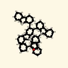 c1ccc(-n2c3ccccc3c3cc(-n4c5ccccc5c5cccc(-c6cc7c(cc6-c6cccc8c6oc6ccccc68)c6ccccc6n7-c6ccccc6)c54)ccc32)cc1